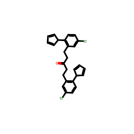 O=C(CCc1cc(Cl)ccc1C1C=CC=C1)CCc1cc(Cl)ccc1C1C=CC=C1